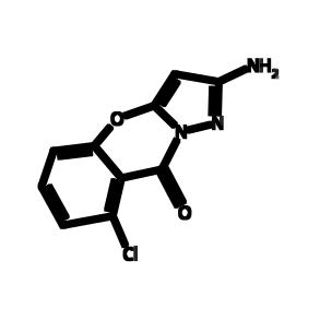 Nc1cc2oc3cccc(Cl)c3c(=O)n2n1